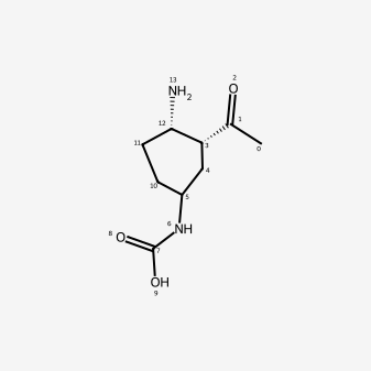 CC(=O)[C@@H]1CC(NC(=O)O)CC[C@@H]1N